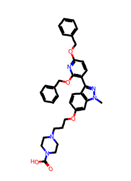 Cn1nc(-c2ccc(OCc3ccccc3)nc2OCc2ccccc2)c2ccc(OCCCN3CCN(C(=O)O)CC3)cc21